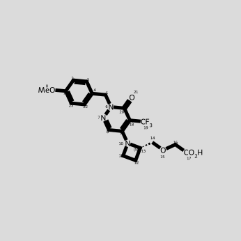 COc1ccc(Cn2ncc(N3CC[C@H]3COCC(=O)O)c(C(F)(F)F)c2=O)cc1